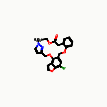 CCOC(=O)Cc1ccccc1OCc1cc(Br)c2occc2c1OCc1ccn(C)n1